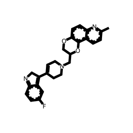 Cc1ccc2c3c(ccc2n1)OCC(CN1CC=C(C2=c4cc(F)ccc4=NC2)CC1)O3